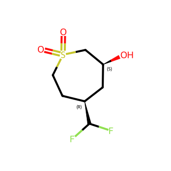 O=S1(=O)CC[C@H](C(F)F)C[C@H](O)C1